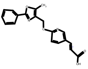 Cc1oc(-c2ccccc2)nc1COc1ccc(/C=C/C(=O)O)cn1